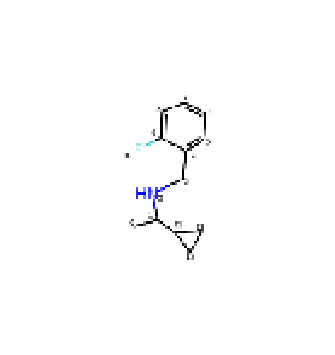 CC(NCc1ccccc1F)C1CC1